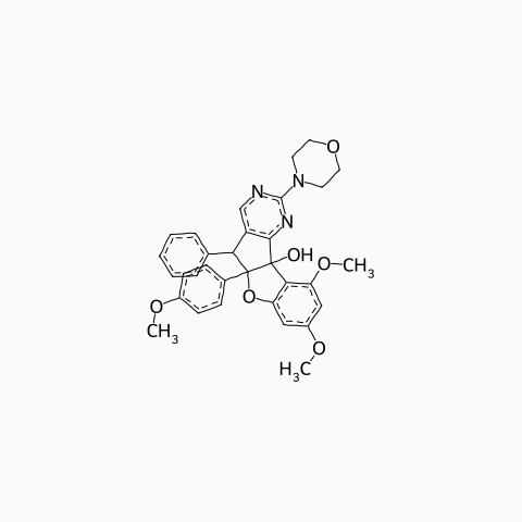 COc1ccc(C23Oc4cc(OC)cc(OC)c4C2(O)c2nc(N4CCOCC4)ncc2C3c2ccccc2)cc1